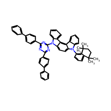 CC1(C)CCC(C)(C)c2c(-n3c4ccccc4c4c5c6ccccc6n(-c6nc(-c7ccc(-c8ccccc8)cc7)nc(-c7ccc(-c8ccccc8)cc7)n6)c5ccc43)cccc21